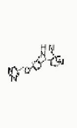 N#Cc1cnccc1C1NCc2cc(OCc3cncnc3)ccc21